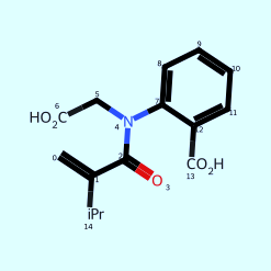 C=C(C(=O)N(CC(=O)O)c1ccccc1C(=O)O)C(C)C